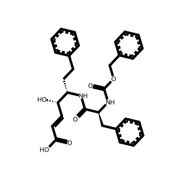 O=C(O)C=C[C@H](O)[C@H](CCc1ccccc1)NC(=O)[C@H](Cc1ccccc1)NC(=O)OCc1ccccc1